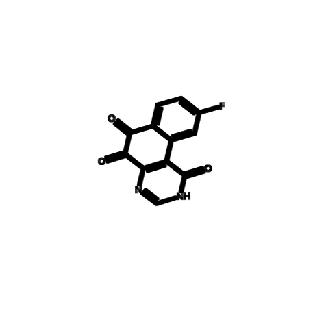 O=C1C(=O)c2nc[nH]c(=O)c2-c2cc(F)ccc21